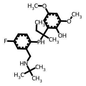 CCC(C)(Pc1ccc(F)cc1CNC(C)(C)C)c1cc(OC)cc(OC)c1O